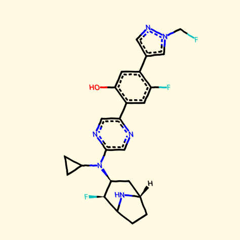 Oc1cc(-c2cnn(CF)c2)c(F)cc1-c1cnc(N(C2CC2)[C@H]2C[C@@H]3CCC(N3)[C@H]2F)cn1